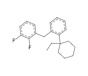 CCC1(c2ccccc2Cc2cccc(F)c2F)CCCCC1